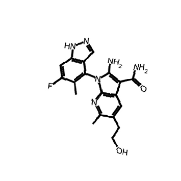 Cc1nc2c(cc1CCO)c(C(N)=O)c(N)n2-c1c(C)c(F)cc2[nH]ncc12